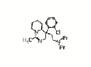 CC1=NCC(CCN(C(C)C)C(C)C)(c2ccccc2Cl)C2CCCCN12